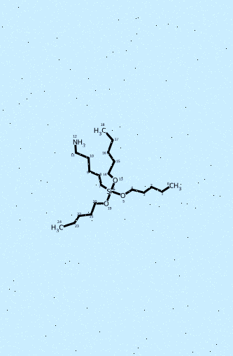 CCCCCO[Si](CCCCCN)(OCCCCC)OCCCCC